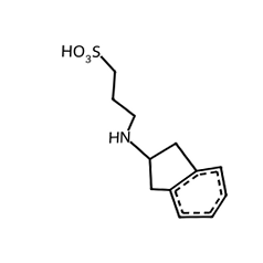 O=S(=O)(O)CCCNC1Cc2ccccc2C1